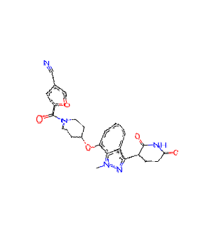 Cn1nc(C2CCC(=O)NC2=O)c2cccc(OC3CCN(C(=O)c4cc(C#N)co4)CC3)c21